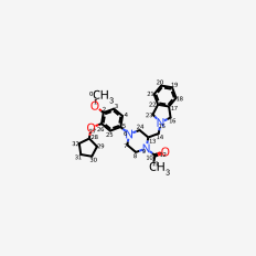 COc1ccc(N2CCN(C(C)=O)C(CN3Cc4ccccc4C3)C2)cc1OC1CCCC1